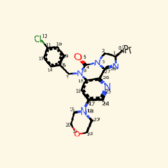 CC(C)C1CN2C(=O)N(Cc3ccc(Cl)cc3)c3cc(N4CCOCC4)cnc3C2=N1